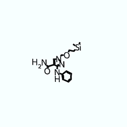 C[Si](C)(C)CCOCn1cc(C(N)=O)c(Nc2ccccc2)n1